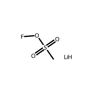 CS(=O)(=O)OF.[LiH]